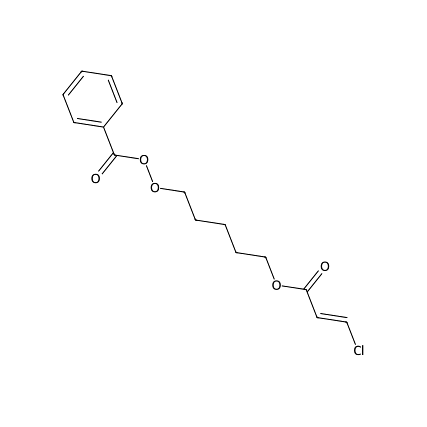 O=C(C=CCl)OCCCCCOOC(=O)c1ccccc1